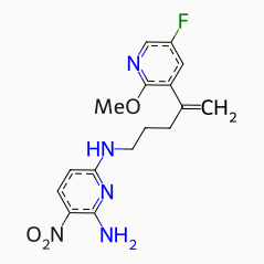 C=C(CCCNc1ccc([N+](=O)[O-])c(N)n1)c1cc(F)cnc1OC